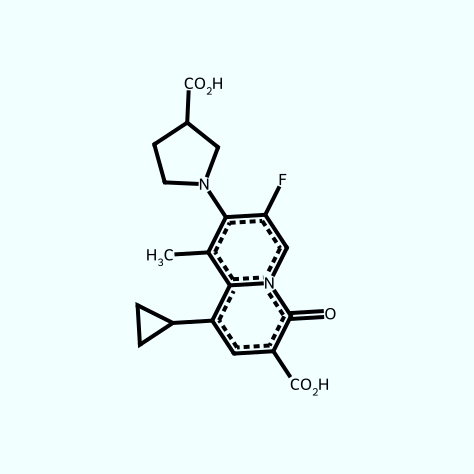 Cc1c(N2CCC(C(=O)O)C2)c(F)cn2c(=O)c(C(=O)O)cc(C3CC3)c12